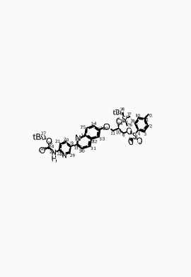 Cc1ccc(S(=O)(=O)OCC(COc2ccc3nc(-c4ccc(NC(=O)OC(C)(C)C)nc4)ccc3c2)O[Si](C)(C)C(C)(C)C)cc1